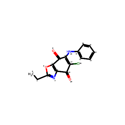 CCc1nc2c(o1)C(=O)C(Nc1ccccc1)=C(Cl)C2=O